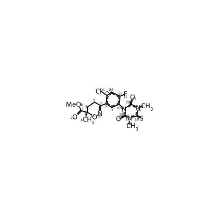 COC(=O)C1(C)CCC(c2cc(-n3c(=O)n(C)c(=S)n(C)c3=O)c(F)cc2Cl)=NO1